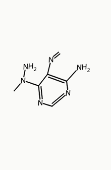 C=Nc1c(N)ncnc1N(C)N